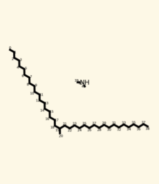 CCCCCCCCCCCCCCCCCCCC(C)CCCCCCCCCCCCCCCCCC.CNC